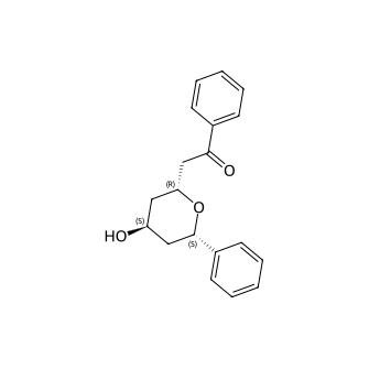 O=C(C[C@H]1C[C@H](O)C[C@@H](c2ccccc2)O1)c1ccccc1